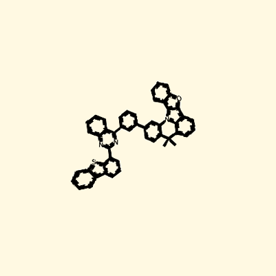 CC1(C)c2ccc(-c3cccc(-c4nc(-c5cccc6c5sc5ccccc56)nc5ccccc45)c3)cc2-n2c3c1cccc3c1oc3ccccc3c12